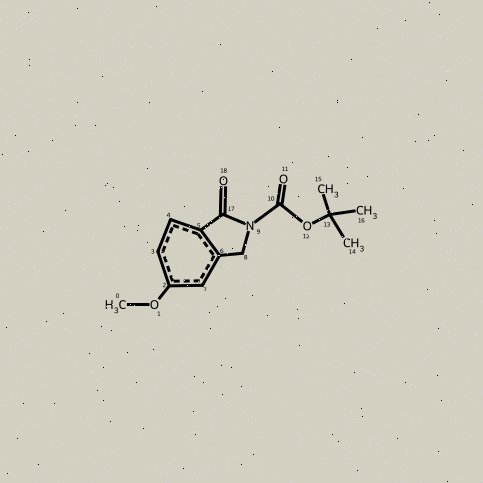 COc1ccc2c(c1)CN(C(=O)OC(C)(C)C)C2=O